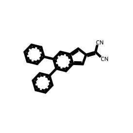 N#CC(C#N)=C1C=c2cc(-c3ccccc3)c(-c3ccccc3)cc2=C1